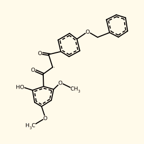 COc1cc(O)c(C(=O)[CH]C(=O)c2ccc(OCc3ccccc3)cc2)c(OC)c1